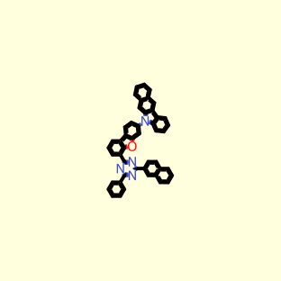 c1ccc(-c2nc(-c3ccc4ccccc4c3)nc(-c3cccc4c3oc3cc(-n5c6ccccc6c6cc7ccccc7cc65)ccc34)n2)cc1